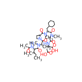 CC[C@H](C)[C@H](NC(C)=O)C(=O)N(C)[C@@H](C)C(=O)N1CC[C@H]1C(=O)N(C)[C@@H](CC1CCCCC1)C(=O)N(C)CC(=O)N[C@@H](CC(=O)O)C(=O)O